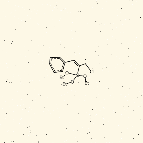 CCO[Si](OCC)(OCC)C(=Cc1ccccc1)CCl